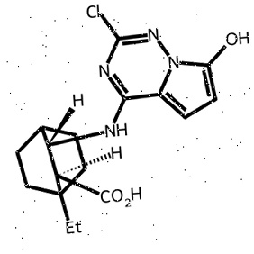 CCC12CCC(CC1)[C@H](Nc1nc(Cl)nn3c(O)ccc13)[C@H]2C(=O)O